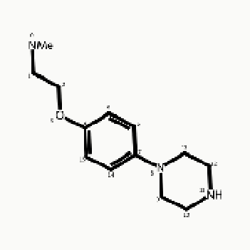 CNCCOc1ccc(N2CCNCC2)cc1